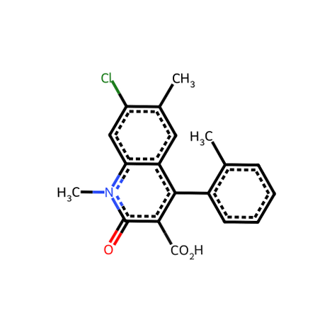 Cc1cc2c(-c3ccccc3C)c(C(=O)O)c(=O)n(C)c2cc1Cl